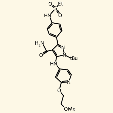 CCS(=O)(=O)Nc1ccc(-c2nn(C(C)(C)C)c(Nc3ccnc(OCCOC)c3)c2C(N)=O)cc1